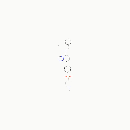 COc1ccccc1CNc1ccc(-c2ccc(S(=O)(=O)C3CCN(C)CC3)cc2)c2nncn12